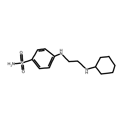 NS(=O)(=O)c1ccc(NCCNC2CCCCC2)cc1